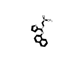 CCN(C)CC[C@H](Oc1cccc2ccccc12)c1cccs1